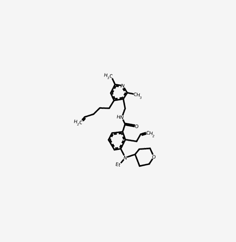 C=CCCCc1cc(C)nc(C)c1CNC(=O)c1cccc(N(CC)C2CCOCC2)c1CC=C